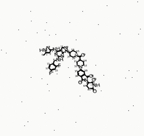 Cc1cc(Nc2nc(NCc3ccc(F)cc3F)nc3c2cnn3C2CCN(C(=O)C3CCN(c4ccc5c(c4)C(=O)N(C4CCC(=O)NC4=O)C5=O)CC3)CC2)n[nH]1